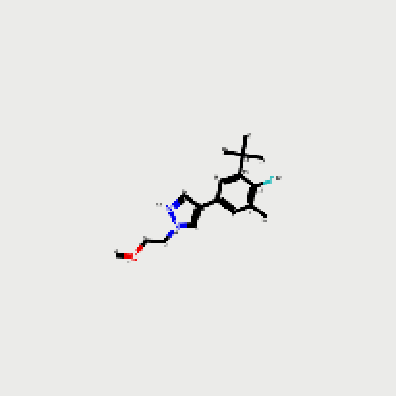 COCCn1cc(-c2cc(C)c(F)c(C(C)(C)C)c2)cn1